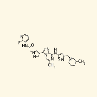 Cc1cn2c(-c3cnn(CC(=O)Nc4cccnc4F)c3)cnc2c(Nc2cc(CN3CCCC(C)C3)ns2)n1